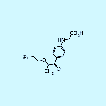 CC(C)CCOC(C)C(=O)c1ccc(NCC(=O)O)cc1